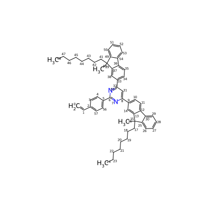 C=Cc1ccc(-c2nc(-c3ccc4c(c3)C(C)(CCCCCCCC)c3ccccc3-4)cc(-c3ccc4c(c3)C(C)(CCCCCCCC)c3ccccc3-4)n2)cc1